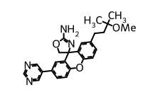 COC(C)(C)CCc1ccc2c(c1)C1(COC(N)=N1)c1cc(-c3cncnc3)ccc1O2